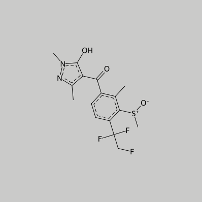 Cc1nn(C)c(O)c1C(=O)c1ccc(C(F)(F)CF)c([S+](C)[O-])c1C